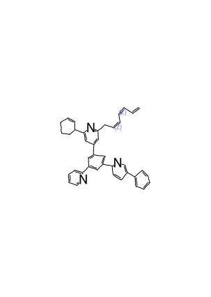 C=C/C=C\C=C/Cc1cc(-c2cc(-c3ccccn3)cc(-c3ccc(-c4ccccc4)cn3)c2)cc(C2C=CCCC2)n1